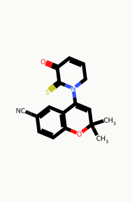 CC1(C)C=C(N2CC=CC(=O)C2=S)c2cc(C#N)ccc2O1